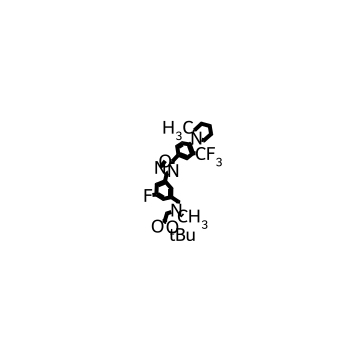 CC1CCCCN1c1ccc(-c2nc(-c3cc(F)cc(CN(C)CC(=O)OC(C)(C)C)c3)no2)cc1C(F)(F)F